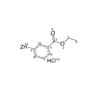 CCOC(=O)c1ccc[c]([Zn])c1.Cl